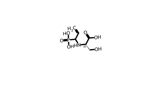 C=CC(N[C@@H](CO)C(=O)O)P(=O)(O)O